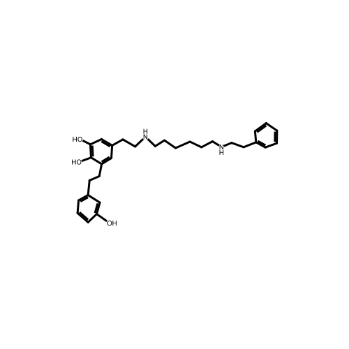 Oc1cccc(CCc2cc(CCNCCCCCCNCCc3ccccc3)cc(O)c2O)c1